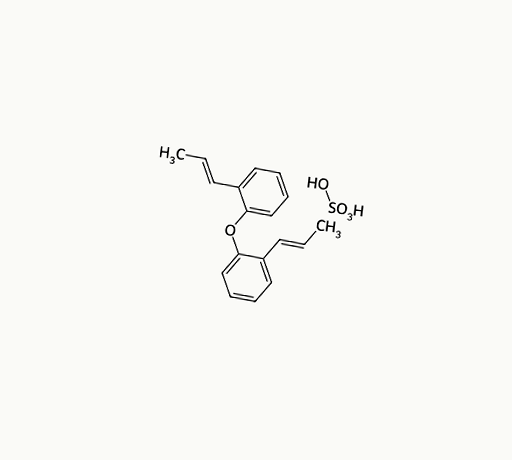 CC=Cc1ccccc1Oc1ccccc1C=CC.O=S(=O)(O)O